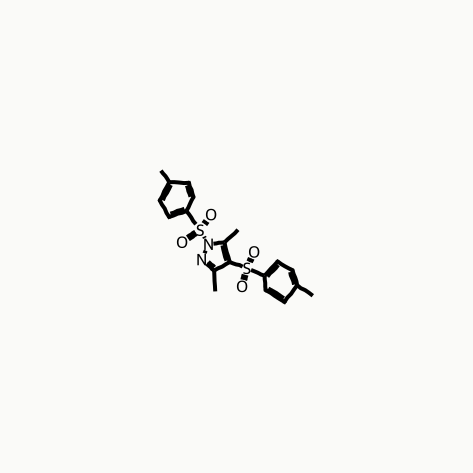 Cc1ccc(S(=O)(=O)c2c(C)nn(S(=O)(=O)c3ccc(C)cc3)c2C)cc1